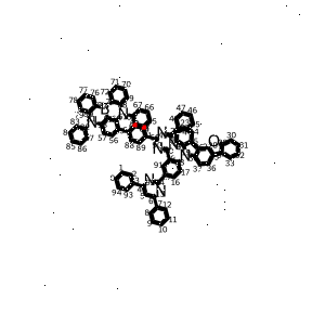 c1ccc(-c2cc(-c3ccccc3)nc(-c3ccc(-n4c5ccccc5c5c6oc7ccccc7c6ccc54)c(-c4nc(-c5ccccc5)nc(-c5ccc(-c6ccc7c8c6N(c6ccccc6)c6ccccc6B8c6ccccc6N7c6ccccc6)cc5)n4)c3)n2)cc1